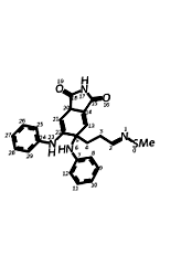 CS/N=C/CCC1(Nc2ccccc2)C=C2C(=O)NC(=O)C2C=C1Nc1ccccc1